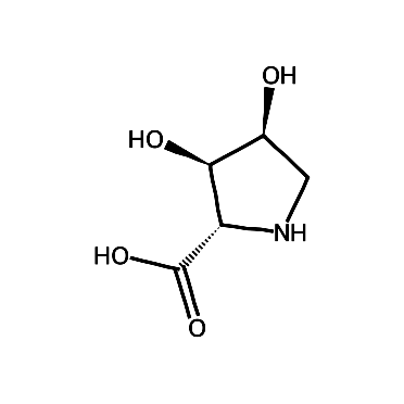 O=C(O)[C@H]1NC[C@H](O)[C@@H]1O